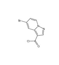 O=C(Cl)c1cnn2ccc(Br)cc12